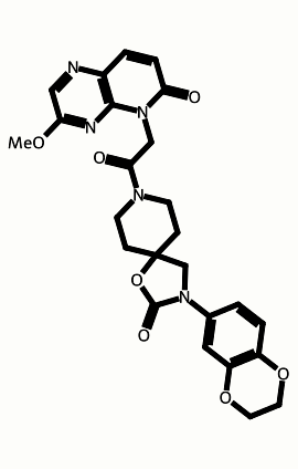 COc1cnc2ccc(=O)n(CC(=O)N3CCC4(CC3)CN(c3ccc5c(c3)OCCO5)C(=O)O4)c2n1